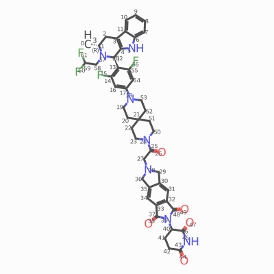 C[C@@H]1Cc2c([nH]c3ccccc23)[C@@H](c2c(F)cc(N3CCC4(CCN(C(=O)CN5Cc6cc7c(cc6C5)C(=O)N(C5CCC(=O)NC5=O)C7=O)CC4)CC3)cc2F)N1CC(F)F